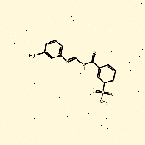 Cc1cccc(/N=C/NC(=O)C2=CC(S(C)(=O)=O)CC=C2)c1